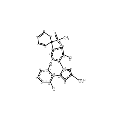 CS(=O)(=O)C1(c2ccc(-n3cc(C(=O)O)nc3-c3c(Cl)cccc3Cl)c(Cl)c2)C=CC=CC1